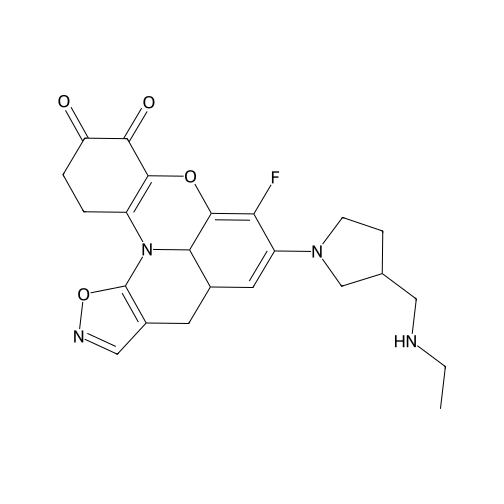 CCNCC1CCN(C2=CC3Cc4cnoc4N4C5=C(OC(=C2F)C34)C(=O)C(=O)CC5)C1